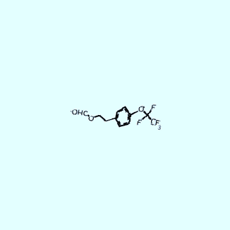 O=[C]OCCc1ccc(OC(F)(F)C(F)(F)F)cc1